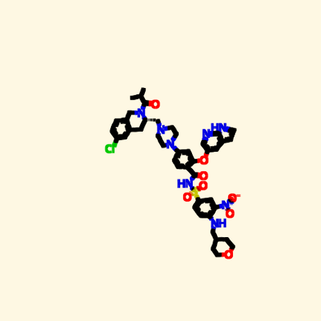 CC(C)C(=O)N1Cc2ccc(Cl)cc2C[C@H]1CN1CCN(c2ccc(C(=O)NS(=O)(=O)c3ccc(NCC4CCOCC4)c([N+](=O)[O-])c3)c(Oc3cnc4[nH]ccc4c3)c2)CC1